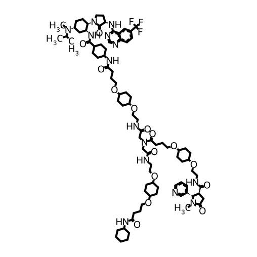 CC(C)N(C)[C@@H]1CC[C@H](N2CC[C@H](Nc3ncnc4ccc(C(F)(F)F)cc34)C2=O)[C@H](NC(=O)C2CCC(NC(=O)CCCOC3CCC(OCCNC(=O)CN(CC(=O)NCCOC4CCC(OCCCC(=O)NC5CCCCC5)CC4)C(=O)CCCOC4CCC(OCCNC(=O)[C@H]5CC(=O)N(C)[C@@H]5c5cccnc5)CC4)CC3)CC2)C1